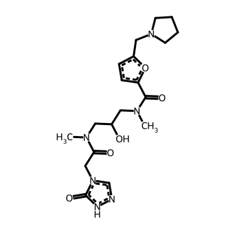 CN(CC(O)CN(C)C(=O)c1ccc(CN2CCCC2)o1)C(=O)Cn1cn[nH]c1=O